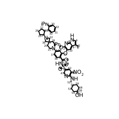 CC(C)Oc1nc2[nH]cc(F)c2cc1Oc1cc(N2CCC3(CC2)CN([C@@H]2CCC[C@@H]2c2ccccc2C(C)C)C3)ccc1C(=O)NS(=O)(=O)c1cnc(NC[C@H]2CC[C@](C)(O)CC2)c([N+](=O)[O-])c1